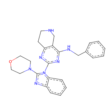 c1ccc(CNc2nc(-n3c(N4CCOCC4)nc4ccccc43)nc3c2CNCC3)cc1